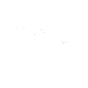 CCc1c([N+](=O)[O-])nn([N+](=O)[O-])c1CC